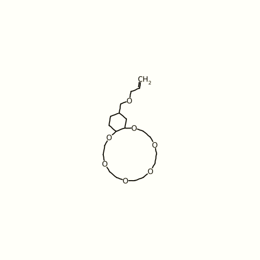 C=CCOCC1CCC2OCCOCCOCCOCCOCCOC2C1